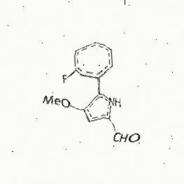 COc1cc(C=O)[nH]c1-c1ccccc1F